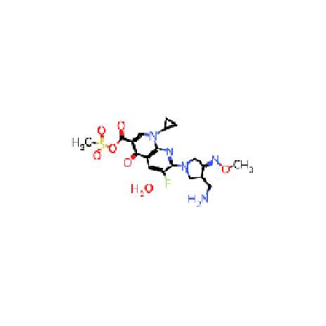 CON=C1CN(c2nc3c(cc2F)c(=O)c(C(=O)OS(C)(=O)=O)cn3C2CC2)CC1CN.O